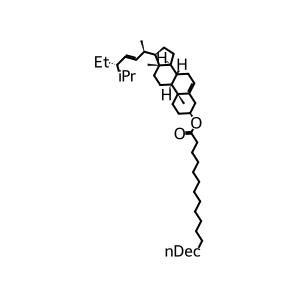 CCCCCCCCCCCCCCCCCCCCCC(=O)O[C@H]1CC[C@@]2(C)C(=CC[C@H]3[C@@H]4CC[C@H]([C@H](C)/C=C/[C@@H](CC)C(C)C)[C@@]4(C)CC[C@@H]32)C1